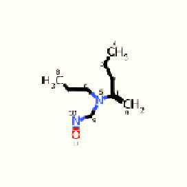 C=C(CCC)N(CCC)CN=O